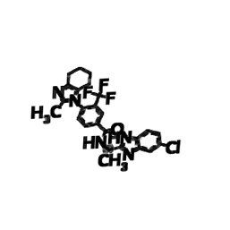 Cc1nc2c(n1-c1ccc(C(=O)N[C@@H](C)c3nc4cc(Cl)ccc4[nH]3)cc1C(F)(F)F)CCCC2